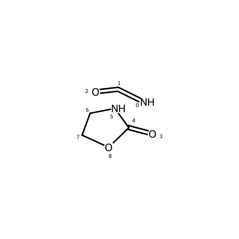 N=C=O.O=C1NCCO1